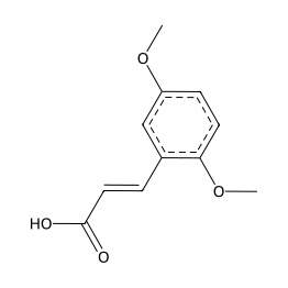 COc1ccc(OC)c(/C=C/C(=O)O)c1